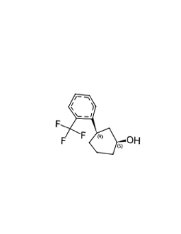 O[C@H]1CCC[C@@H](c2ccccc2C(F)(F)F)C1